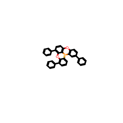 S=P12c3cc(-c4ccccc4)ccc3Oc3ccc(-c4ccccc4)c(c31)Oc1c(-c3ccccc3)cccc12